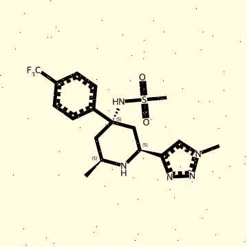 C[C@H]1C[C@@](NS(C)(=O)=O)(c2ccc(C(F)(F)F)cc2)C[C@@H](c2cn(C)nn2)N1